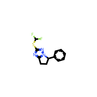 FC(F)Sc1nc2n(n1)C(c1ccccc1)CC2